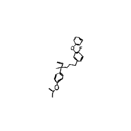 C=CC(C)(CCCc1ccc(F)c(Oc2ccccc2)c1)c1ccc(OC(C)C)cc1